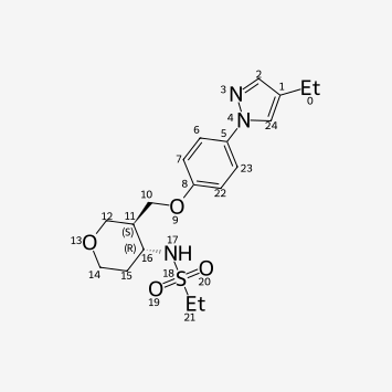 CCc1cnn(-c2ccc(OC[C@@H]3COCC[C@H]3NS(=O)(=O)CC)cc2)c1